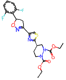 CCOC(=O)N1CCC(c2nc(C3=NOC(c4c(F)cccc4F)C3)cs2)CN1C(=O)OCC